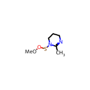 COOSN1CCCN=C1C